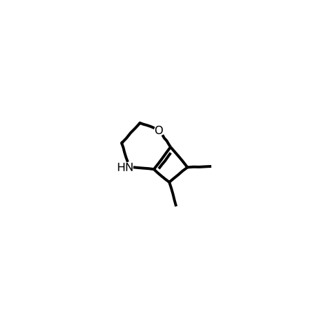 CC1C2=C(OCCN2)C1C